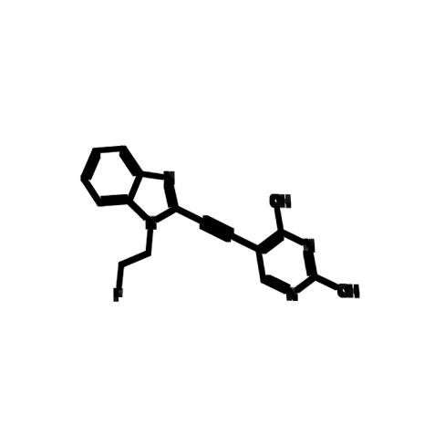 Oc1ncc(C#Cc2nc3ccccc3n2CCF)c(O)n1